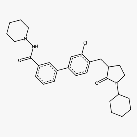 O=C(NN1CCCCC1)c1cccc(-c2ccc(CC3CCN(C4CCCCC4)C3=O)c(Cl)c2)c1